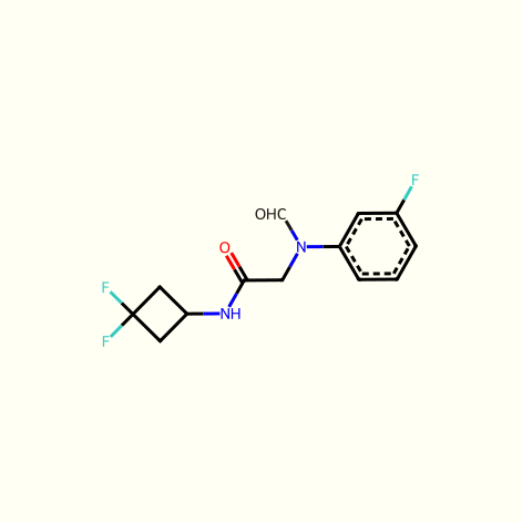 O=CN(CC(=O)NC1CC(F)(F)C1)c1cccc(F)c1